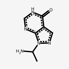 CC(N)n1ncc2c(=O)[nH]cnc21